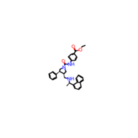 CCOC(=O)c1ccc(NC(=O)N2C[C@@H](CN[C@H](C)c3cccc4ccccc34)[C@@H](c3ccccc3)C2)cc1